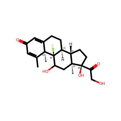 CC1=CC(=O)C=C2CC[C@H]3[C@@H]4CC[C@](O)(C(=O)CO)[C@@]4(C)CC(O)[C@]3(F)[C@@]12C